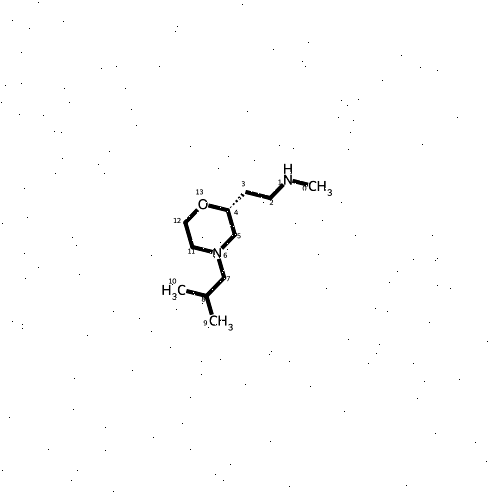 CNCC[C@@H]1CN(CC(C)C)CCO1